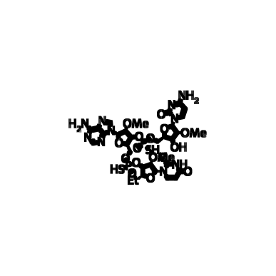 CC[C@H]1O[C@@H](n2ccc(=O)[nH]c2=O)[C@@H](OC)C1OP(=O)(S)OC[C@H]1O[C@@H](n2cnc3c(N)ncnc32)[C@@H](OC)C1OP(=O)(S)OC[C@H]1O[C@@H](n2ccc(N)nc2=O)[C@@H](OC)C1O